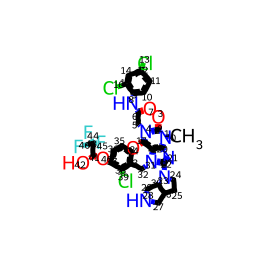 Cn1c(=O)n(CC(=O)Nc2ccc(Cl)cc2Cl)c(=O)c2c1nc(N1CCC3CNCC31)n2Cc1ccccc1Cl.O=C(O)C(F)(F)F